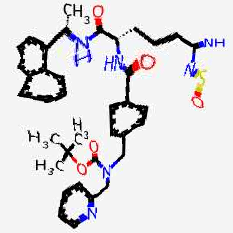 C[C@H](NC(=O)[C@H](CCCC(=N)N=S=O)NC(=O)c1ccc(CN(Cc2ccccn2)C(=O)OC(C)(C)C)cc1)c1cccc2ccccc12